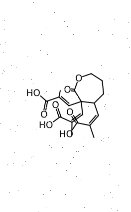 CC(=CC1CCCOC(=O)C1(C=C(C)C(=O)O)C=C(C)C(=O)O)C(=O)O